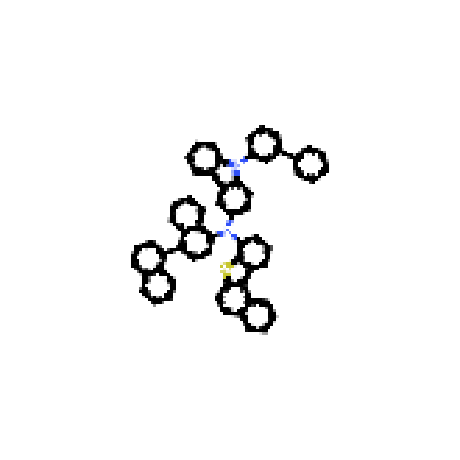 c1ccc(-c2cccc(-n3c4ccccc4c4cc(N(c5ccc(-c6cccc7ccccc67)c6ccccc56)c5cccc6c5sc5ccc7ccccc7c56)ccc43)c2)cc1